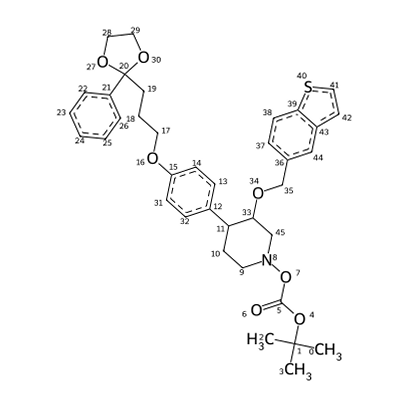 CC(C)(C)OC(=O)ON1CCC(c2ccc(OCCCC3(c4ccccc4)OCCO3)cc2)C(OCc2ccc3sccc3c2)C1